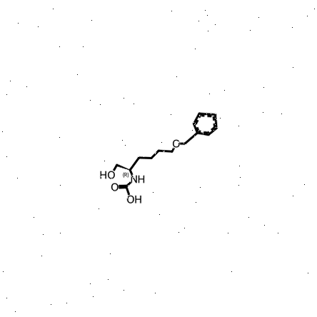 O=C(O)N[C@@H](CO)CCCCOCc1ccccc1